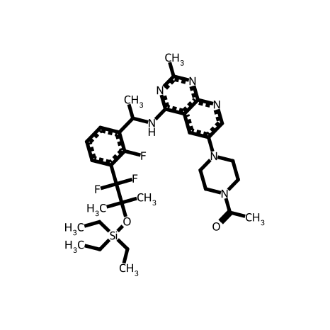 CC[Si](CC)(CC)OC(C)(C)C(F)(F)c1cccc(C(C)Nc2nc(C)nc3ncc(N4CCN(C(C)=O)CC4)cc23)c1F